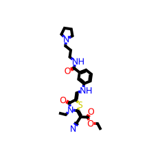 CCOC(=O)C(C#N)=c1sc(=CNc2cccc(C(=O)NCCCN3CCCC3)c2)c(=O)n1CC